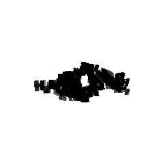 Nc1nc2c(ncn2[C@@H]2O[C@@H]3COP(=O)(S)O[C@H]4[C@H](F)[C@H](n5nnc6c(N)ccnc65)O[C@@H]4COP(=O)(S)O[C@@H]2C3)c(=O)[nH]1